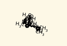 CCn1nc(C)c(-c2cccc3c(CCCOc4cc(C)c(Cl)c(C)c4)c(C)n(CCC(=O)NS(C)(=O)=O)c23)c1C